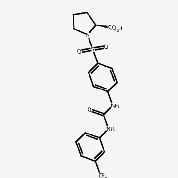 O=C(Nc1ccc(S(=O)(=O)N2CCC[C@H]2C(=O)O)cc1)Nc1cccc(C(F)(F)F)c1